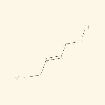 CCOCC=CCOC